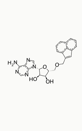 Nc1ncnc2c1ncn2[C@@H]1O[C@H](COCC2=Cc3cccc4cccc2c34)[C@@H](O)[C@H]1O